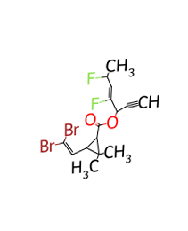 C#CC(OC(=O)C1C(C=C(Br)Br)C1(C)C)C(F)=CC(C)F